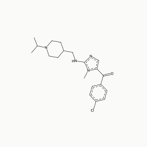 CC(C)N1CCC(CNc2ncc(C(=O)c3ccc(Cl)cc3)n2C)CC1